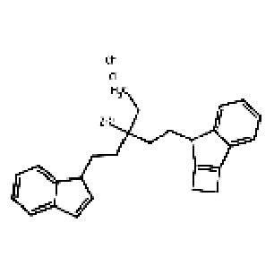 CC[C]([Zr+2])(CCC1C=Cc2ccccc21)CCC1C2=C(CC2)c2ccccc21.[Cl-].[Cl-]